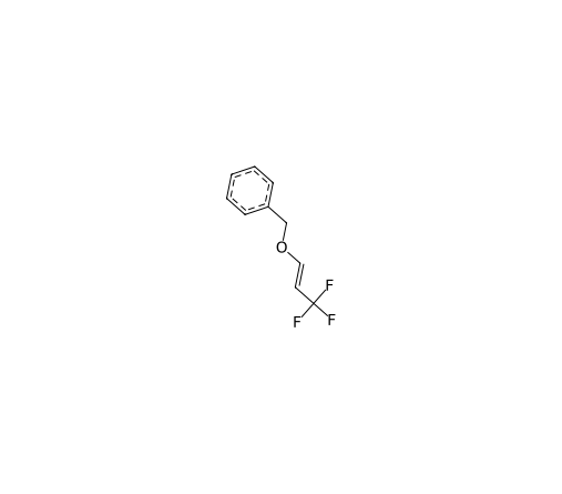 FC(F)(F)C=COCc1ccccc1